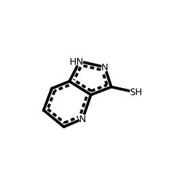 Sc1n[nH]c2cccnc12